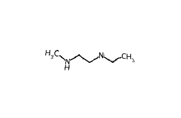 CC[N]CCNC